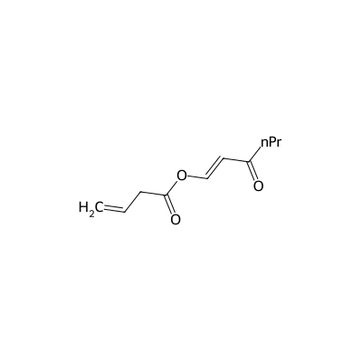 C=CCC(=O)OC=CC(=O)CCC